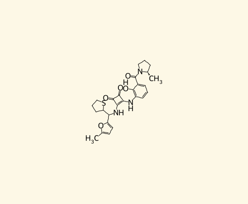 Cc1ccc(C(Nc2c(Nc3cccc(C(=O)N4CCC[C@H]4C)c3O)c(=O)c2=O)C2CCCS2)o1